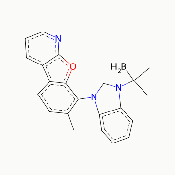 BC(C)(C)N1CN(c2c(C)ccc3c2oc2ncccc23)c2ccccc21